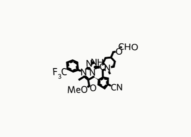 COC(=O)C1=C(C)N(c2cccc(C(F)(F)F)c2)c2n[nH]c(=O)n2[C@@H]1c1ccc(C#N)cc1C[N+]1(C)CCC(COC=O)CC1